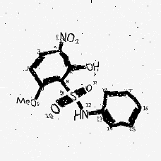 COc1ccc([N+](=O)[O-])c(O)c1S(=O)(=O)Nc1ccccc1